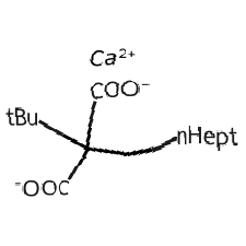 CCCCCCCCC(C(=O)[O-])(C(=O)[O-])C(C)(C)C.[Ca+2]